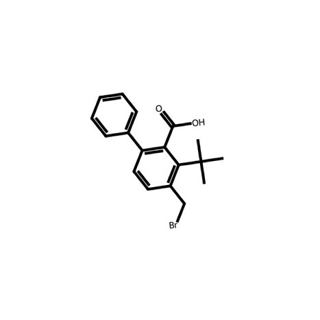 CC(C)(C)c1c(CBr)ccc(-c2ccccc2)c1C(=O)O